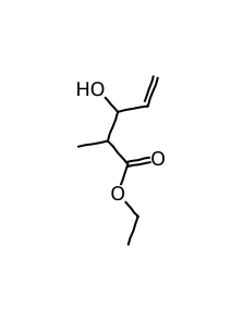 C=CC(O)C(C)C(=O)OCC